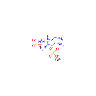 NCCN[NH3+].NCCN[NH3+].O=S(=O)([O-])[O-].O=S(=O)([O-])[O-].[Fe+2]